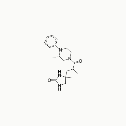 CC(CC1(C)CNC(=O)N1)C(=O)N1CCN(c2cccnc2)[C@@H](C)C1